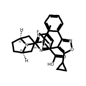 Cc1cc(C(=O)O)nc(N2[C@@H]3CC[C@H]2C[C@@H](OCc2c(-c4ccccc4C(F)(F)F)noc2C2CC2)C3)n1